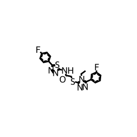 CCn1c(SCC(=O)Nc2nnc(-c3ccc(F)cc3)s2)nnc1-c1cccc(F)c1